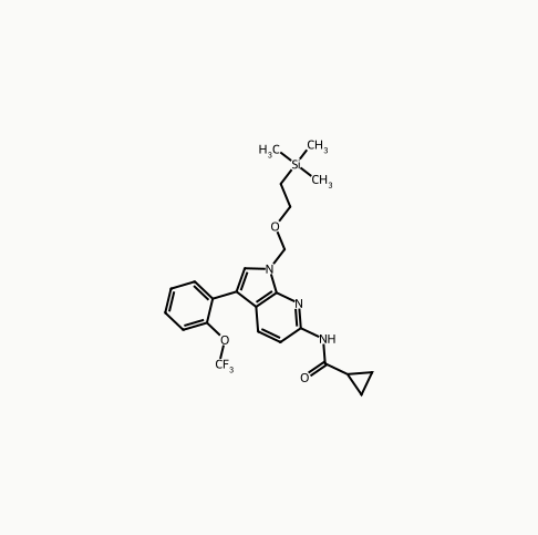 C[Si](C)(C)CCOCn1cc(-c2ccccc2OC(F)(F)F)c2ccc(NC(=O)C3CC3)nc21